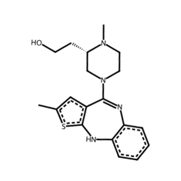 Cc1cc2c(s1)Nc1ccccc1N=C2N1CCN(C)[C@@H](CCO)C1